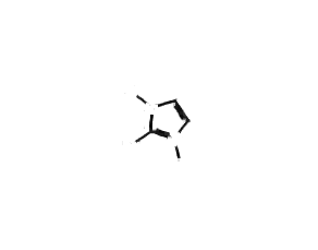 CCC[n+]1ccn(C(C)C)c1CC